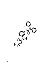 C=CC(=O)Nc1cccc(OC(=O)N(c2ccccc2)c2ccccc2)c1